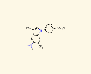 CN(C)c1cc2c(C#N)cn(-c3ccc(C(=O)O)cc3)c2cc1C(F)(F)F